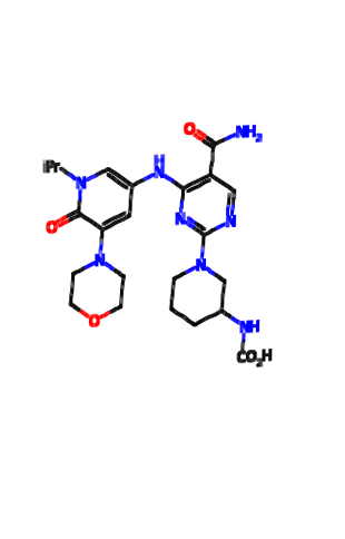 CC(C)n1cc(Nc2nc(N3CCCC(NC(=O)O)C3)ncc2C(N)=O)cc(N2CCOCC2)c1=O